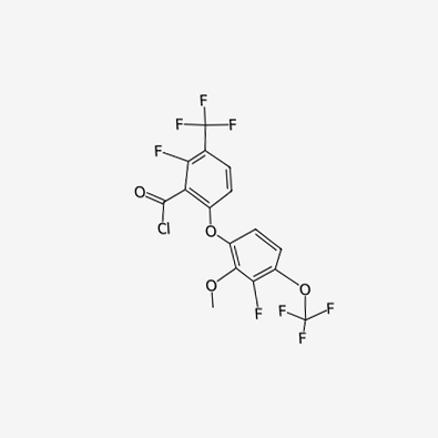 COc1c(Oc2ccc(C(F)(F)F)c(F)c2C(=O)Cl)ccc(OC(F)(F)F)c1F